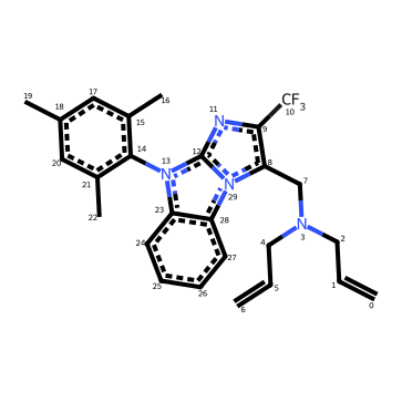 C=CCN(CC=C)Cc1c(C(F)(F)F)nc2n(-c3c(C)cc(C)cc3C)c3ccccc3n12